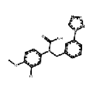 COc1ccc(N(Cc2cccc(-n3cnnn3)c2)C(=O)O)cc1Cl